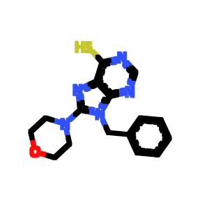 Sc1ncnc2c1nc(N1CCOCC1)n2Cc1ccccc1